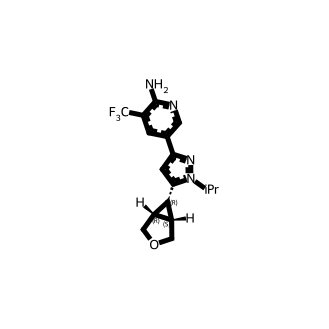 CC(C)n1nc(-c2cnc(N)c(C(F)(F)F)c2)cc1[C@@H]1[C@@H]2COC[C@@H]21